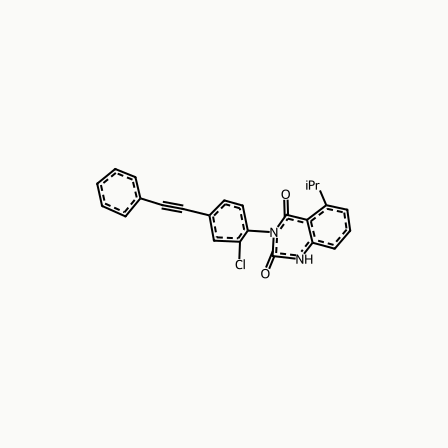 CC(C)c1cccc2[nH]c(=O)n(-c3ccc(C#Cc4ccccc4)cc3Cl)c(=O)c12